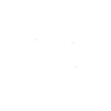 COc1c(C)cc([N+](=O)[O-])cc1N